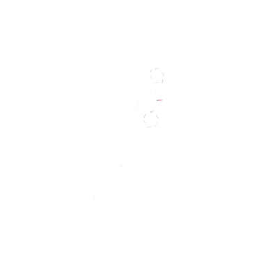 CCCCCCC[C@H]1CC[C@H](COc2cc(F)c(C(=O)Oc3cc(F)c(F)c(F)c3)c(F)c2)CC1